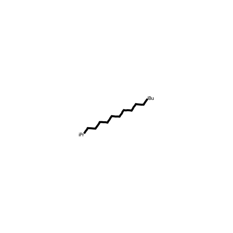 [CH2]C(C)CCCCCCCCCCC(C)CC